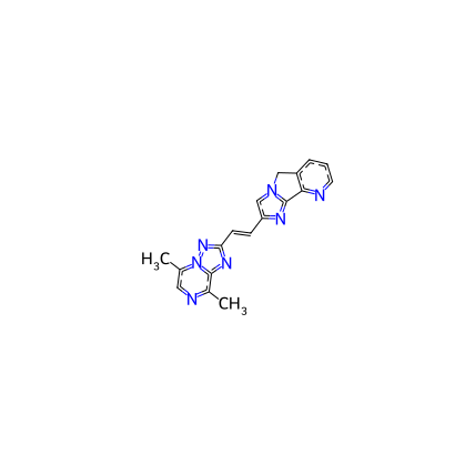 Cc1ncc(C)n2nc(/C=C/c3cn4c(n3)-c3ncccc3C4)nc12